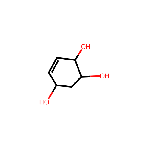 OC1C=CC(O)C(O)C1